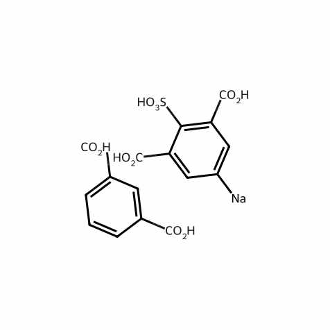 O=C(O)c1c[c]([Na])cc(C(=O)O)c1S(=O)(=O)O.O=C(O)c1cccc(C(=O)O)c1